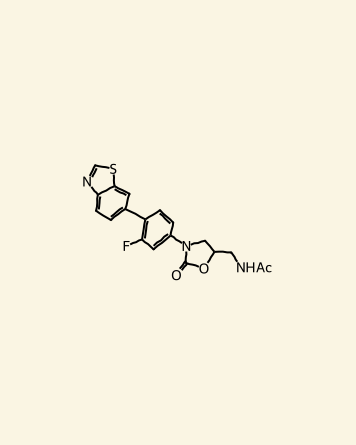 CC(=O)NCC1CN(c2ccc(-c3ccc4ncsc4c3)c(F)c2)C(=O)O1